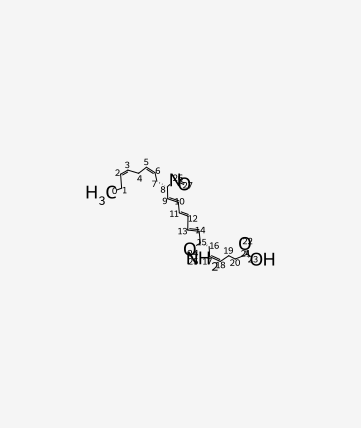 CC/C=C\C/C=C\C[C@@H](/C=C/C=C/C=C/[C@H](C/C=C\CCC(=O)O)ON)N=O